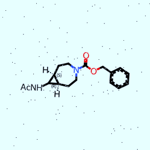 CC(=O)NC1[C@H]2CCN(C(=O)OCc3ccccc3)CC[C@@H]12